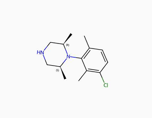 Cc1ccc(Cl)c(C)c1N1[C@H](C)CNC[C@@H]1C